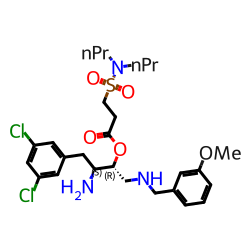 CCCN(CCC)S(=O)(=O)CCC(=O)O[C@H](CNCc1cccc(OC)c1)[C@@H](N)Cc1cc(Cl)cc(Cl)c1